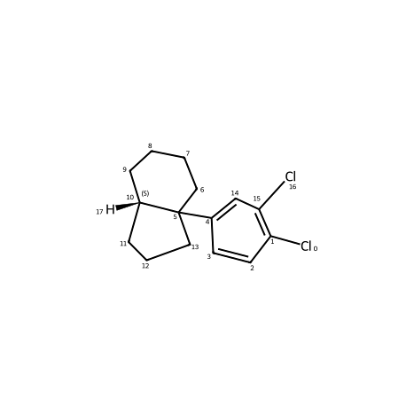 Clc1ccc(C23CCCC[C@H]2CCC3)cc1Cl